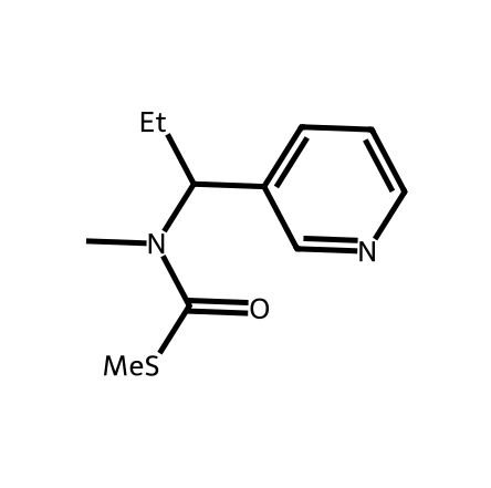 CCC(c1cccnc1)N(C)C(=O)SC